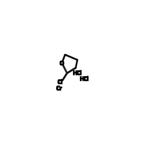 Cl.Cl.ClC1CCCO1.[Cr]